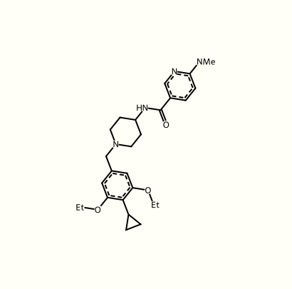 CCOc1cc(CN2CCC(NC(=O)c3ccc(NC)nc3)CC2)cc(OCC)c1C1CC1